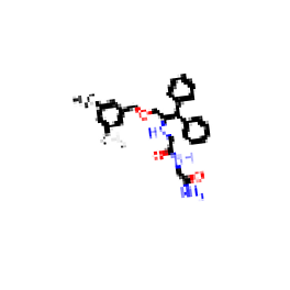 Cc1cc(C)cc(COCC(NCC(=O)NCC(N)=O)C(c2ccccc2)c2ccccc2)c1